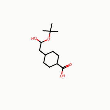 CC(C)(C)OC(O)CC1CCC(C(=O)O)CC1